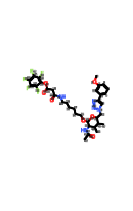 COc1cccc(-c2cn(CC3OC(OCCCCCCNC(=O)CC(=O)Oc4c(F)c(F)c(F)c(F)c4F)C(NC(C)=O)C(C)C3C)nn2)c1